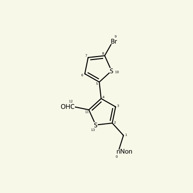 CCCCCCCCCCc1cc(-c2ccc(Br)s2)c(C=O)s1